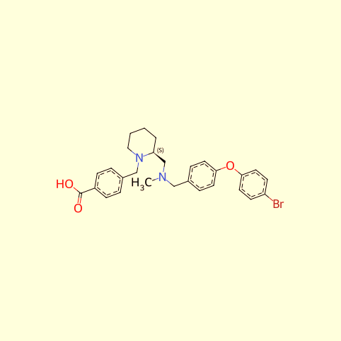 CN(Cc1ccc(Oc2ccc(Br)cc2)cc1)C[C@@H]1CCCCN1Cc1ccc(C(=O)O)cc1